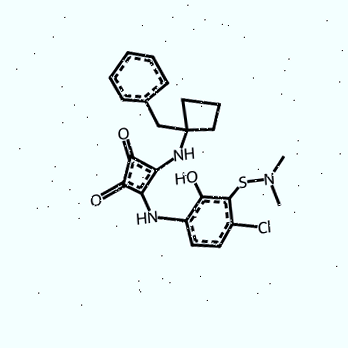 CN(C)Sc1c(Cl)ccc(Nc2c(NC3(Cc4ccccc4)CCC3)c(=O)c2=O)c1O